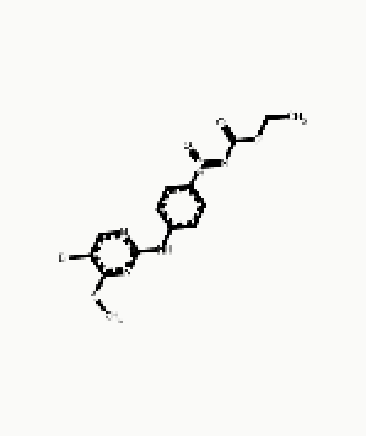 CCOC(=O)/N=[SH](=O)/c1ccc(Nc2ncc(Br)c(SC)n2)cc1